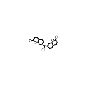 O=c1ccc2ccc([I+]c3ccc4ccc(=O)oc4c3)cc2o1.[Cl-]